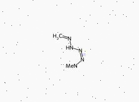 C=NN/N=N\NC